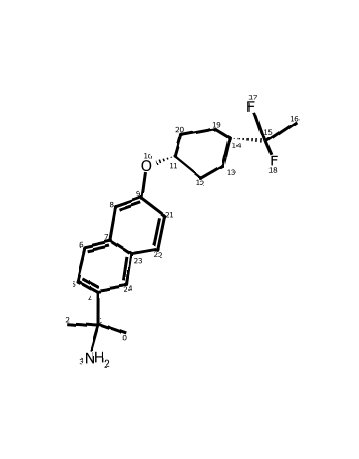 CC(C)(N)c1ccc2cc(O[C@H]3CC[C@@H](C(C)(F)F)CC3)ccc2c1